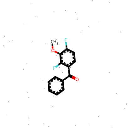 COc1c(F)ccc(C(=O)c2ccccc2)c1F